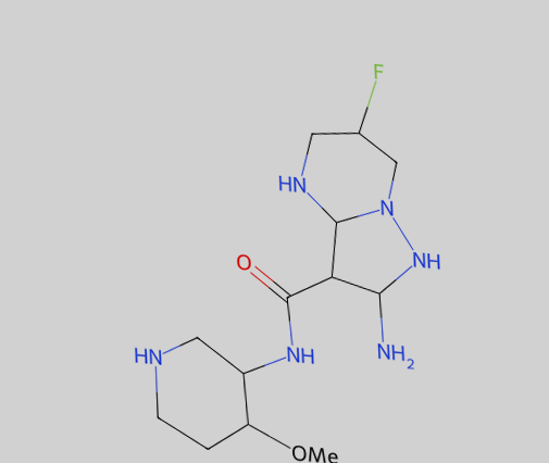 COC1CCNCC1NC(=O)C1C(N)NN2CC(F)CNC12